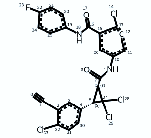 C#Cc1cc([C@@H]2[C@@H](C(=O)Nc3ccc(Cl)c(C(=O)Nc4ccc(F)cc4)c3)C2(Cl)Cl)ccc1Cl